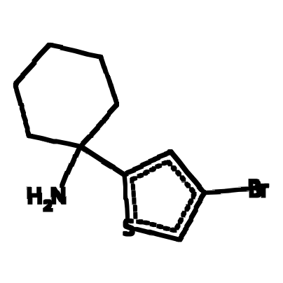 NC1(c2cc(Br)cs2)CCCCC1